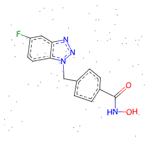 O=C(NO)c1ccc(Cn2nnc3cc(F)ccc32)cc1